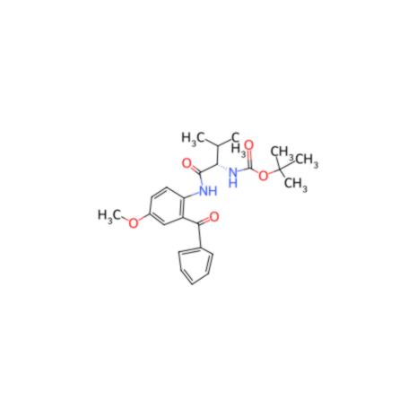 COc1ccc(NC(=O)[C@@H](NC(=O)OC(C)(C)C)C(C)C)c(C(=O)c2ccccc2)c1